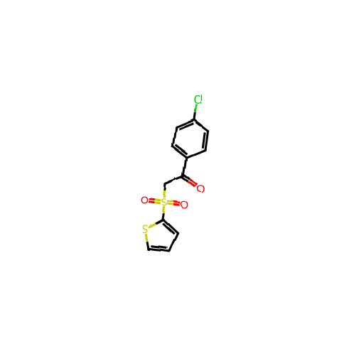 O=C(CS(=O)(=O)c1cccs1)c1ccc(Cl)cc1